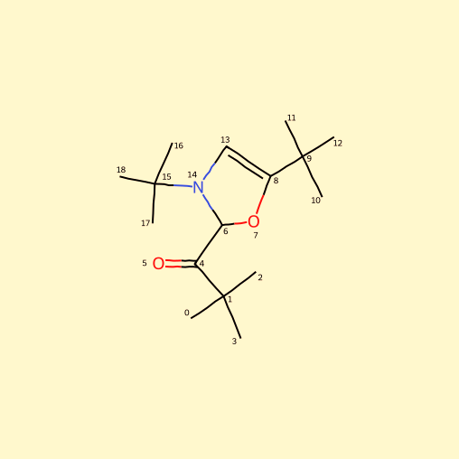 CC(C)(C)C(=O)C1OC(C(C)(C)C)=CN1C(C)(C)C